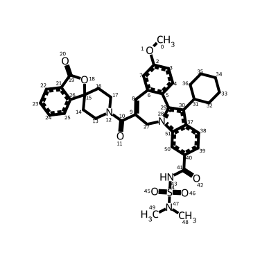 COc1ccc2c(c1)C=C(C(=O)N1CCC3(CC1)OC(=O)c1ccccc13)Cn1c-2c(C2CCCCC2)c2ccc(C(=O)NS(=O)(=O)N(C)C)cc21